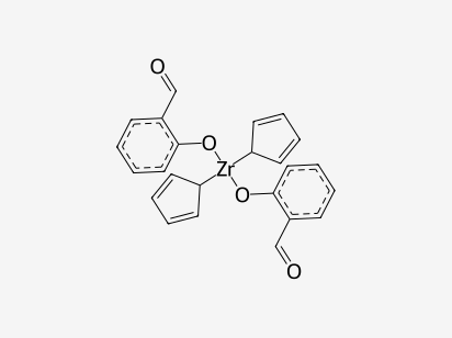 O=Cc1ccccc1[O][Zr]([O]c1ccccc1C=O)([CH]1C=CC=C1)[CH]1C=CC=C1